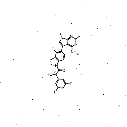 Cc1nc(N)c2c(-c3ccc4c(c3F)CCN4C(=O)[C@H](O)c3cc(F)cc(F)c3)cn(C)c2n1